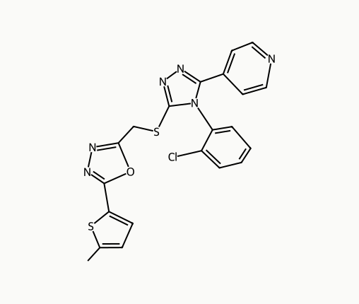 Cc1ccc(-c2nnc(CSc3nnc(-c4ccncc4)n3-c3ccccc3Cl)o2)s1